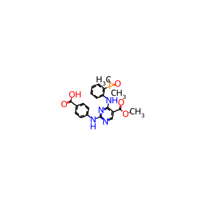 COC(=O)c1cnc(Nc2ccc(C(=O)O)cc2)nc1Nc1ccccc1P(C)(C)=O